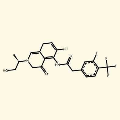 C[C@H](CO)N1C=C2CC=C(Cl)C(NC(=O)Cc3ccc(C(F)(F)F)c(F)c3)=C2C(=O)C1